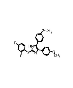 COc1ccc(-c2nc(Sc3ccc(F)cc3F)[nH]c2-c2ccc(OC)cc2)cc1